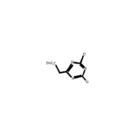 CCOC(=O)Cc1nc(Cl)nc(Cl)n1